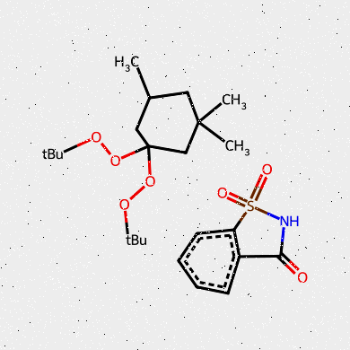 CC1CC(C)(C)CC(OOC(C)(C)C)(OOC(C)(C)C)C1.O=C1NS(=O)(=O)c2ccccc21